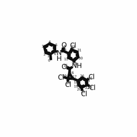 Cc1c[c]ccc1NC(=O)c1cc(NC(=O)C2C(c3cc(Cl)c(Cl)c(Cl)c3)C2(Cl)Cl)ccc1Cl